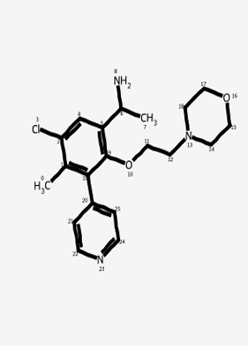 Cc1c(Cl)cc(C(C)N)c(OCCN2CCOCC2)c1-c1ccncc1